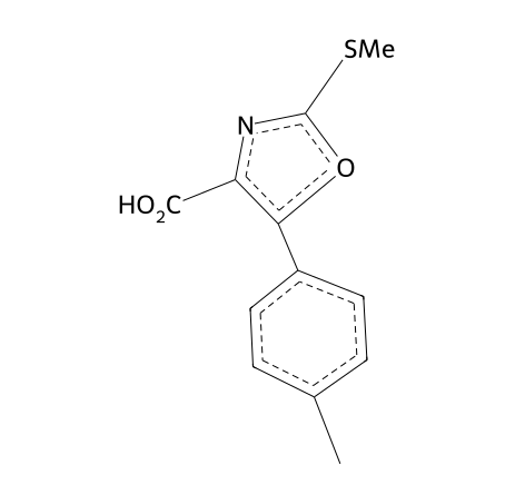 CSc1nc(C(=O)O)c(-c2ccc(C)cc2)o1